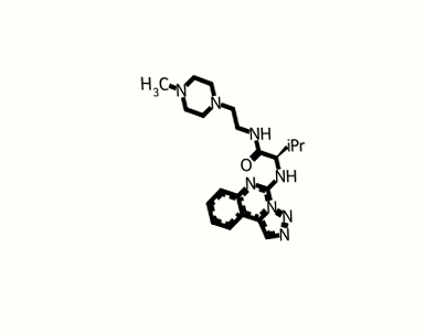 CC(C)[C@@H](Nc1nc2ccccc2c2cnnn12)C(=O)NCCN1CCN(C)CC1